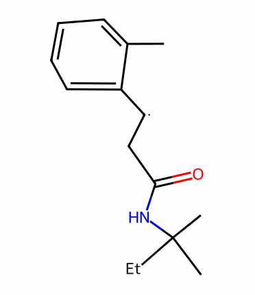 CCC(C)(C)NC(=O)C[CH]c1ccccc1C